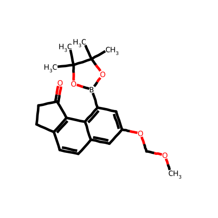 COCOc1cc(B2OC(C)(C)C(C)(C)O2)c2c3c(ccc2c1)CCC3=O